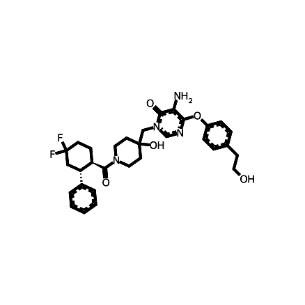 Nc1c(Oc2ccc(CCO)cc2)ncn(CC2(O)CCN(C(=O)[C@@H]3CCC(F)(F)C[C@H]3c3ccccc3)CC2)c1=O